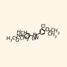 CC(=O)NC(C)(C)C1C=CC(c2nc(-c3ccc(OC(C)C)c(Cl)c3)no2)=CC1